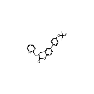 O=C1Oc2ccc(-c3ccc(OC(F)(F)F)cc3)cc2CN1Cc1ncccn1